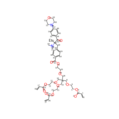 C=CC(=O)OCCOCC(COCCOC(=O)C=C)(COCCOC(=O)C=C)COCCOC(=O)c1ccc(CC(CC)(C(=O)c2ccc(N3CCOCC3)cc2)N(C)C)cc1